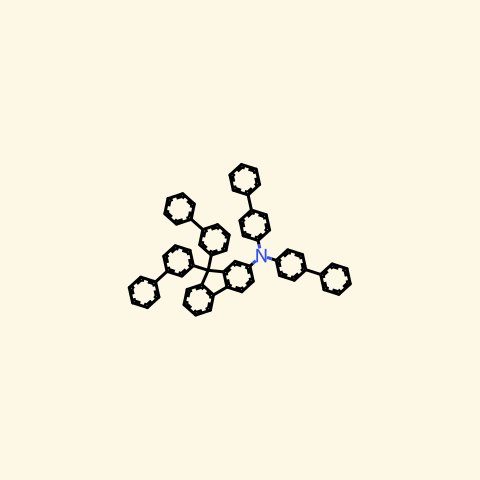 c1ccc(-c2ccc(N(c3ccc(-c4ccccc4)cc3)c3ccc4c(c3)C(c3cccc(-c5ccccc5)c3)(c3cccc(-c5ccccc5)c3)c3ccccc3-4)cc2)cc1